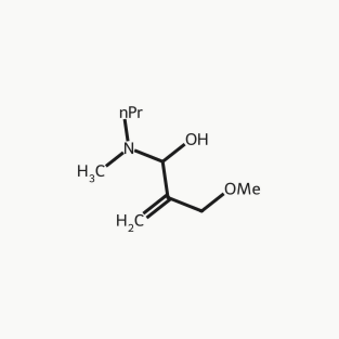 C=C(COC)C(O)N(C)CCC